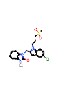 CCn1c(=O)n(Cc2cc3cc(Cl)ccc3n2CCCS(C)(=O)=O)c2ccccc21